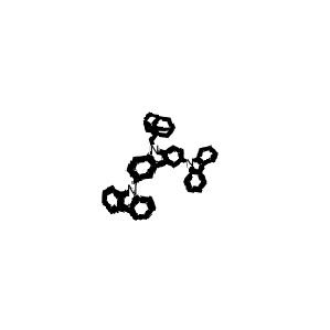 c1ccc2c(c1)c1ccccc1n2-c1ccc2c(c1)c1cc(-n3c4ccccc4c4ccccc43)ccc1n2CC12CC3CC(CC(C3)C1)C2